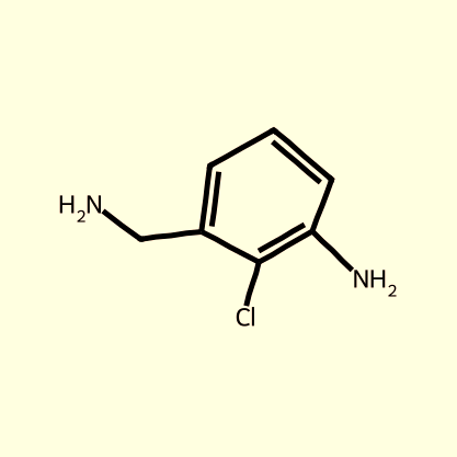 NCc1cccc(N)c1Cl